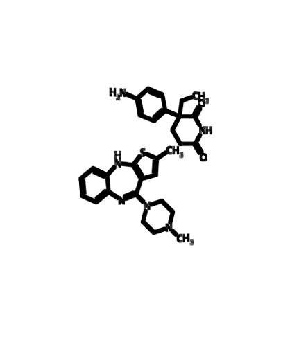 CCC1(c2ccc(N)cc2)CCC(=O)NC1=O.Cc1cc2c(s1)Nc1ccccc1N=C2N1CCN(C)CC1